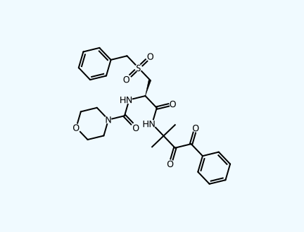 CC(C)(NC(=O)[C@H](CS(=O)(=O)Cc1ccccc1)NC(=O)N1CCOCC1)C(=O)C(=O)c1ccccc1